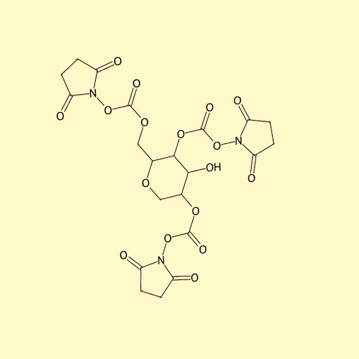 O=C(OCC1OCC(OC(=O)ON2C(=O)CCC2=O)C(O)C1OC(=O)ON1C(=O)CCC1=O)ON1C(=O)CCC1=O